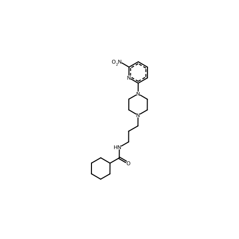 O=C(NCCCN1CCN(c2cccc([N+](=O)[O-])n2)CC1)C1CCCCC1